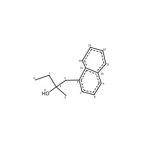 CCC(C)(O)Cc1cccc2ccccc12